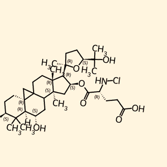 CC(C)(O)[C@@H]1CC[C@](C)([C@H]2[C@@H](OC(=O)[C@@H](CCC(=O)O)NCl)C[C@@]3(C)C4C[C@H](O)[C@H]5C(C)(C)[C@@H](O)CC[C@@]56CC46CC[C@]23C)O1